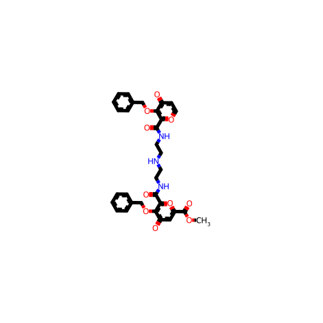 COC(=O)c1cc(=O)c(OCc2ccccc2)c(C(=O)NCCNCCNC(=O)c2occc(=O)c2OCc2ccccc2)o1